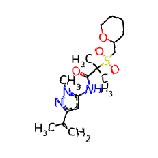 C=C(C)c1cc(NC(=O)C(C)(C)S(=O)(=O)CC2CCCCO2)n(C)n1